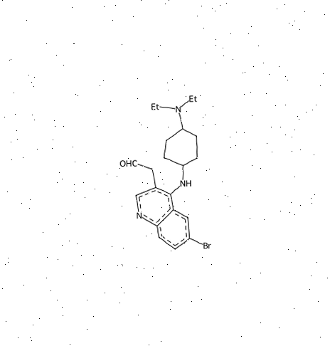 CCN(CC)C1CCC(Nc2c(CC=O)cnc3ccc(Br)cc23)CC1